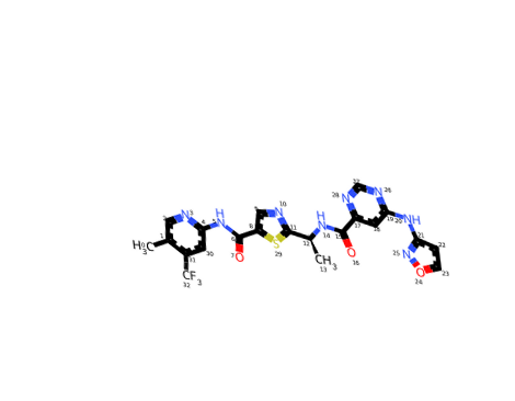 Cc1cnc(NC(=O)c2cnc([C@H](C)NC(=O)c3cc(Nc4ccon4)ncn3)s2)cc1C(F)(F)F